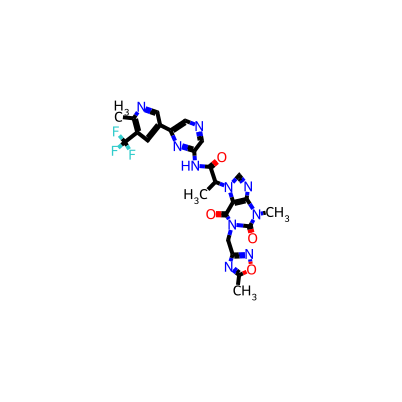 Cc1nc(Cn2c(=O)c3c(ncn3C(C)C(=O)Nc3cncc(-c4cnc(C)c(C(F)(F)F)c4)n3)n(C)c2=O)no1